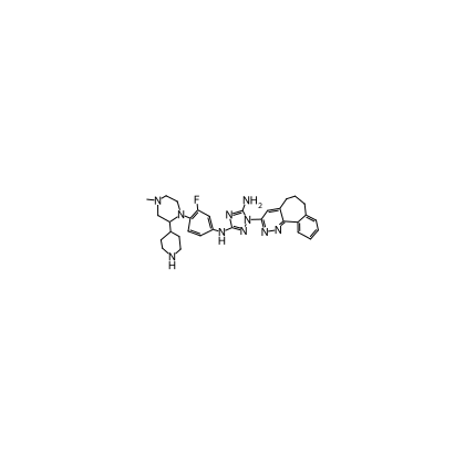 CN1CCN(c2ccc(Nc3nc(N)n(-c4cc5c(nn4)-c4ccccc4CCC5)n3)cc2F)C(C2CCNCC2)C1